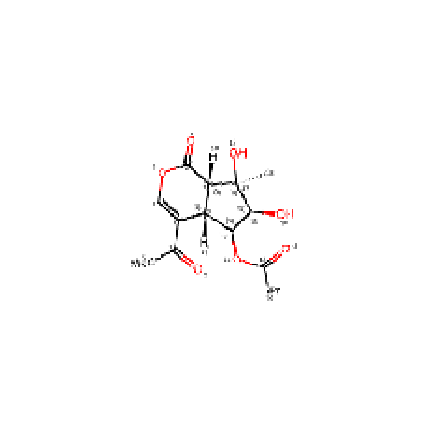 COC(=O)C1=COC(=O)[C@H]2[C@@H]1[C@H](OC(=O)C(C)C)[C@H](O)[C@]2(C)O